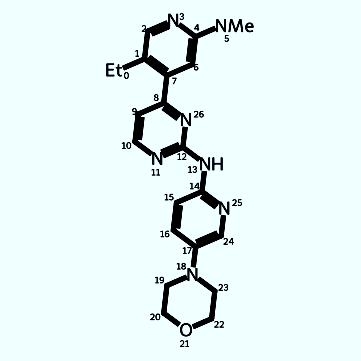 CCc1cnc(NC)cc1-c1ccnc(Nc2ccc(N3CCOCC3)cn2)n1